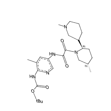 Cc1cc(NC(=O)C(=O)N2C[C@@H](C)CC[C@@H]2C2CCCN(C)C2)cnc1NC(=O)OC(C)(C)C